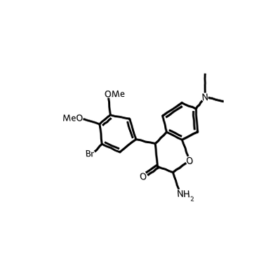 COc1cc(C2C(=O)C(N)Oc3cc(N(C)C)ccc32)cc(Br)c1OC